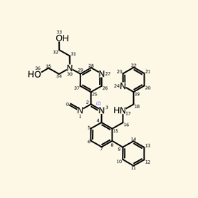 C=N/C(=N\c1cccc(-c2ccccc2)c1CNCc1ccccn1)c1cncc(N(CCO)CCO)c1